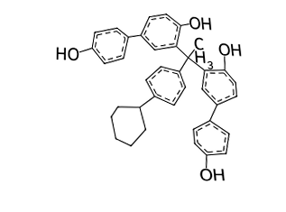 CC(c1ccc(C2CCCCC2)cc1)(c1cc(-c2ccc(O)cc2)ccc1O)c1cc(-c2ccc(O)cc2)ccc1O